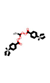 [CH2]CC[C](OOC(=O)c1ccc([Si](C)(C=C)C=C)cc1)OOC(=O)c1ccc([Si](C)(C=C)C=C)cc1